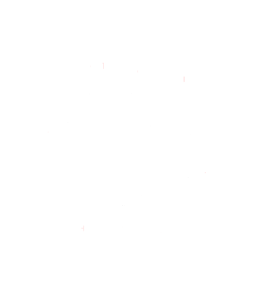 COc1cc(O)c2c(c1)C(C1c3cc(C)cc(O)c3C(=O)c3c(O)cc(O)cc31)c1cc(C)cc(O)c1C2=O